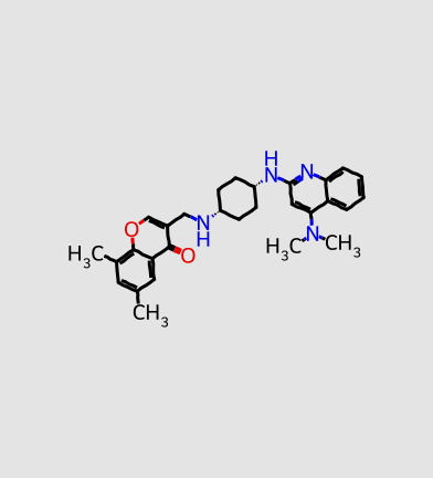 Cc1cc(C)c2occ(CN[C@H]3CC[C@@H](Nc4cc(N(C)C)c5ccccc5n4)CC3)c(=O)c2c1